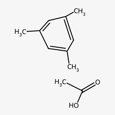 CC(=O)O.Cc1cc(C)cc(C)c1